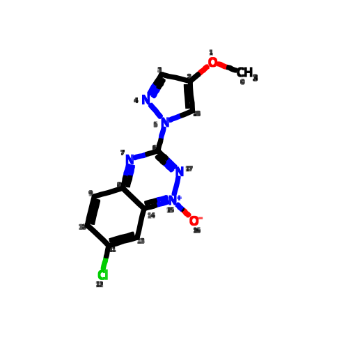 COc1cnn(-c2nc3ccc(Cl)cc3[n+]([O-])n2)c1